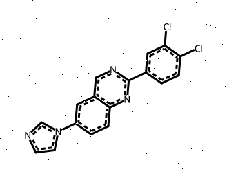 Clc1ccc(-c2ncc3cc(-n4ccnc4)ccc3n2)cc1Cl